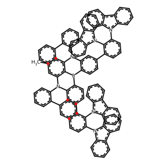 Cc1cc2c3c(c1)N(c1ccccc1-c1ccccc1)c1cc(-c4cccc(-n5c6ccccc6c6ccccc65)c4-n4c5ccccc5c5ccccc54)ccc1B3c1ccc(-c3cccc(-n4c5ccccc5c5ccccc54)c3-n3c4ccccc4c4ccccc43)cc1N2c1ccccc1-c1ccccc1